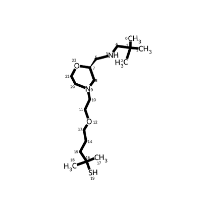 CC(C)(C)CNC[C@H]1CN(CCOCCCC(C)(C)S)CCO1